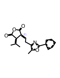 CC(C)=C1C(=O)OC(=O)/C1=C/Cc1nc(-c2ccccc2)oc1C